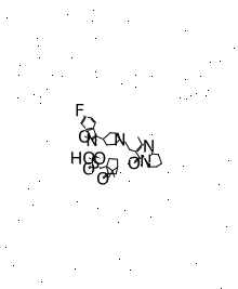 CC1(C)C2CCC1(CS(=O)(=O)O)C(=O)C2.Cc1nc2n(c(=O)c1CCN1CCC(c3noc4cc(F)ccc34)CC1)CCCC2